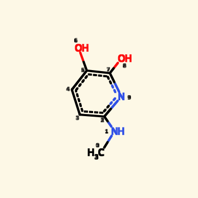 CNc1ccc(O)c(O)n1